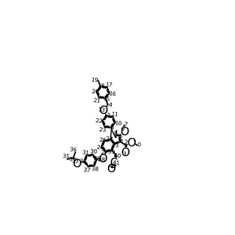 COC(=O)c1c(OC)n(-c2ccc(OCc3ccc(C)cc3)cc2)c2ccc(Oc3ccc(OC(C)C)cc3)c(C=C=O)c12